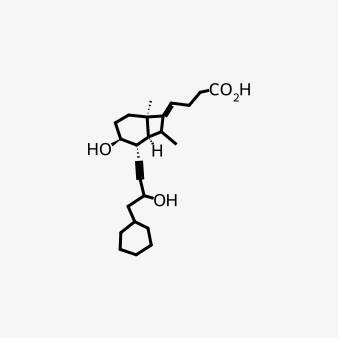 CC1C(=CCCC(=O)O)[C@]2(C)CC[C@H](O)[C@@H](C#CC(O)CC3CCCCC3)[C@H]12